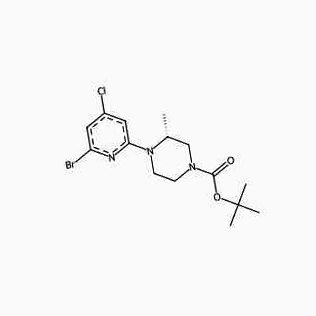 C[C@@H]1CN(C(=O)OC(C)(C)C)CCN1c1cc(Cl)cc(Br)n1